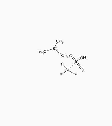 C[S+](C)C.O=S(=O)(O)C(F)(F)F